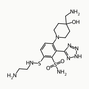 NCCNSc1ccc(N2CCC(O)(CN)CC2)c(-c2nn[nH]n2)c1S(N)(=O)=O